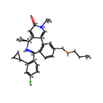 CCCSCc1ccc2c(c1)-c1cn(C)c(=O)cc1[C@H](C)N=C2c1ccc(F)cc1C1CC1